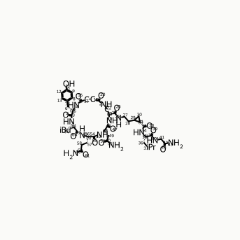 CC[C@H](C)[C@@H]1NC(=O)[C@H](Cc2ccc(O)cc2)NC(=O)CCC(=O)NC[C@@H](C(=O)NCCC2C[C@@H]2C(=O)N[C@@H](CC(C)C)C(=O)NCC(N)=O)NC(=O)[C@H](CC(N)=O)NC(=O)[C@H](CCC(N)=O)NC1=O